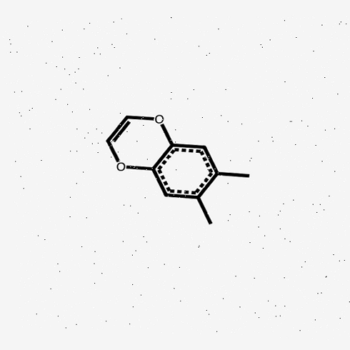 Cc1cc2c(cc1C)OC=CO2